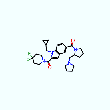 O=C(c1cc2cc(C(=O)N3CCCC3CN3CCCC3)ccc2n1CC1CC1)N1CCC(F)(F)CC1